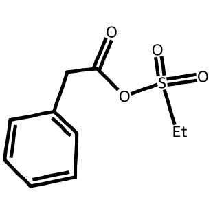 CCS(=O)(=O)OC(=O)Cc1ccccc1